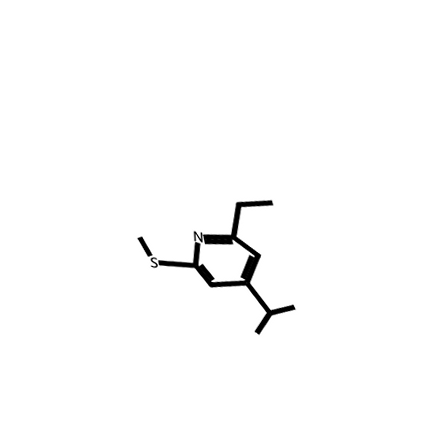 CCc1cc(C(C)C)cc(SC)n1